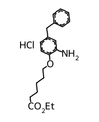 CCOC(=O)CCCCCOc1ccc(Cc2ccccc2)cc1N.Cl